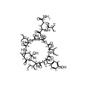 CCC(C)[C@@H]1NC(=O)[C@H](Cc2ccc(O)cc2)N(C)C(=O)[C@H](C(C)CC)N2C(=O)C3CC3(C[C@@H]2O)NC(=O)[C@H](CC(C)C)NC(=O)[C@@H](NC(=O)C(CCC(N)=O)NC(=O)C(C)C)[C@@H](C)OC1=O